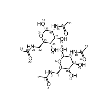 CC(=O)NC[C@H]1O[C@@H](O)[C@H](NC(C)=O)[C@@H](O)[C@H]1O.CC(=O)NC[C@H]1O[C@H](O)[C@H](NC(C)=O)[C@H](O)[C@@H]1O